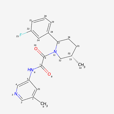 Cc1cncc(NC(=O)C(=O)N2C[C@@H](C)CCC2c2cccc(F)c2)c1